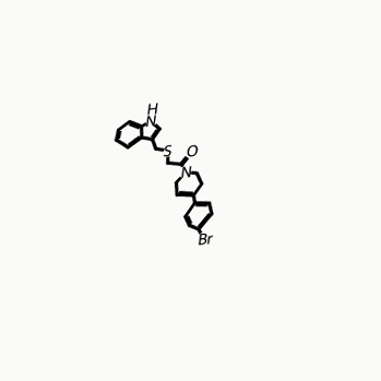 O=C(CSCc1c[nH]c2ccccc12)N1CC=C(c2ccc(Br)cc2)CC1